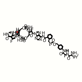 CC(C)[C@H](N)C(=O)N[C@@H](C)C(=O)Nc1ccc(COC(=O)N(C)Cc2ccccc2C(=O)Nc2ncnc3c2ncn3[C@@H]2OC3CO[P@@](=O)(S)O[C@H]4C(n5cc(F)c6c(=O)[nH]cnc65)O[C@H](CO[P@@](=O)(S)O[C@H]3[C@H]2F)[C@H]4O)cc1